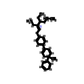 CCC(CNC)/C(=C/Cc1ccc(C2=CCC(C)(c3ccccc3)C=C2)cc1)CN